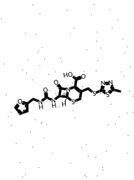 Cc1nnc(SCC2=C(C(=O)O)N3C(=O)C(NC(=O)NCc4ccco4)[C@@H]3SC2)s1